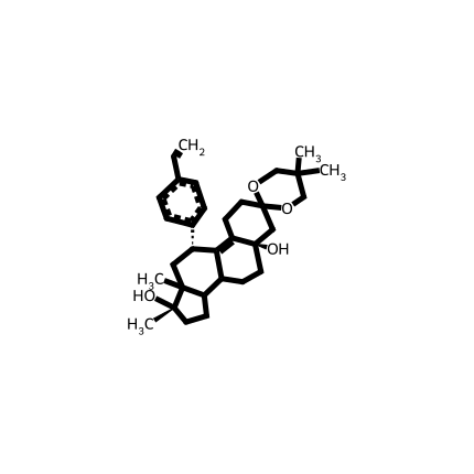 C=Cc1ccc([C@H]2CC3(C)C(CC[C@]3(C)O)C3CC[C@@]4(O)CC5(CCC4=C32)OCC(C)(C)CO5)cc1